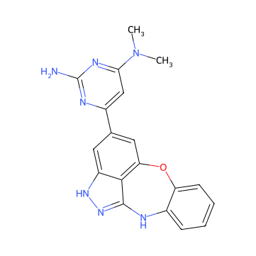 CN(C)c1cc(-c2cc3c4c(n[nH]c4c2)Nc2ccccc2O3)nc(N)n1